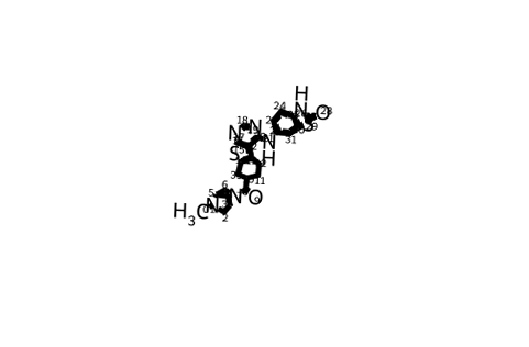 CN1CC2CC1CN2C(=O)C1CCc2c(sc3ncnc(Nc4ccc5[nH]c(=O)sc5c4)c23)C1